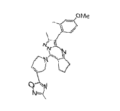 COc1ccc(-c2c(C)nn3c(N4CCC=C(c5nc(C)no5)C4)c4c(nc23)CCC4)c(C)c1